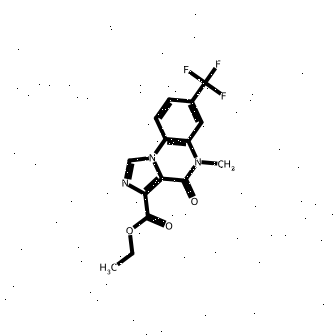 CCOC(=O)c1ncn2c1c(=O)n(C)c1cc(C(F)(F)F)ccc12